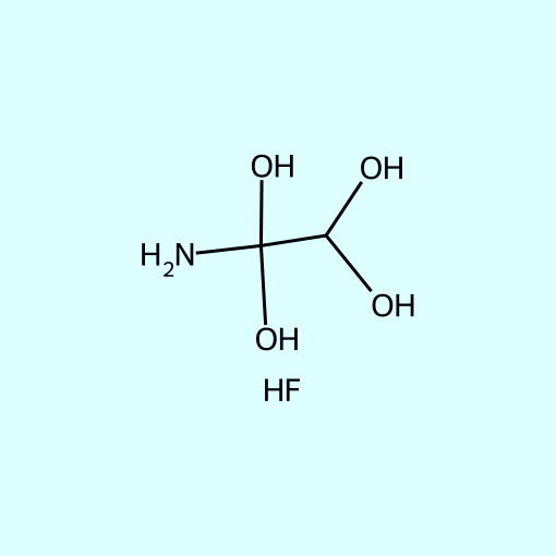 F.NC(O)(O)C(O)O